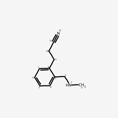 CNCc1ccccc1CCC#N